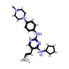 CN1CCN(c2ccc(Nc3ncc(C=C[N+](=O)[O-])c(NC4CCCC4)n3)cc2)CC1